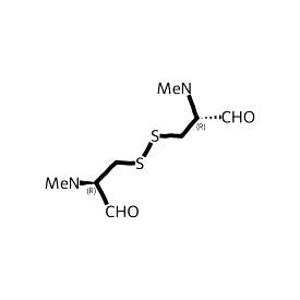 CN[C@H](C=O)CSSC[C@@H](C=O)NC